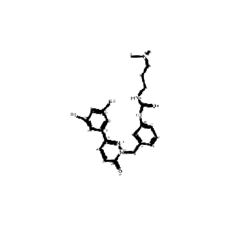 CN(C)CCCNC(=O)Oc1cccc(Cn2nc(-c3cc(F)cc(F)c3)ccc2=O)c1